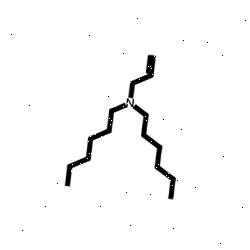 C=CCN(CCCCCC)CCCCCC